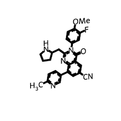 COc1ccc(-n2c(CC3CCCN3)nc3c(-c4ccc(C)nc4)cc(C#N)cc3c2=O)cc1F